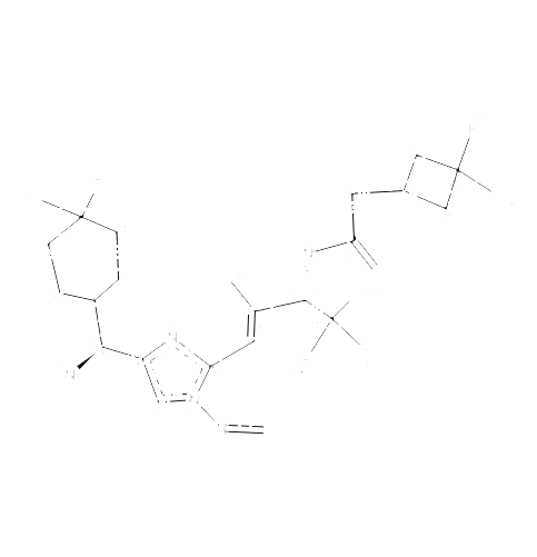 C=Nn1cc([C@@H](N)C2CCC(F)(F)CC2)nc1/C=C(\C)[C@H](NC(=O)CC1CC(F)(F)C1)C(F)(F)F